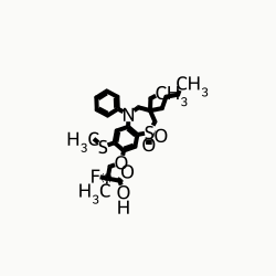 CCCCC1(CC)CN(c2ccccc2)c2cc(SC)c(OC[C@](C)(F)C(=O)O)cc2S(=O)(=O)C1